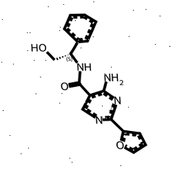 Nc1nc(-c2ccco2)ncc1C(=O)N[C@H](CO)c1ccccc1